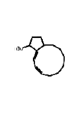 CCCCC1CCC2CCCCCCC=CC=C12